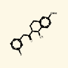 COc1ccc2c(c1)CCC(C(=O)Cc1cccc(F)c1)C2C#N